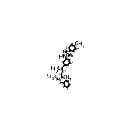 CCN(Cc1ccccc1)/C(C)=C/C=C(\C)c1cccc(NS(=O)(=O)c2ccc(C)cc2)c1